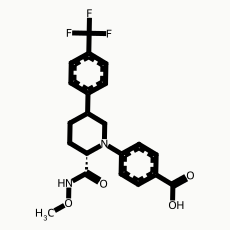 CONC(=O)[C@@H]1CCC(c2ccc(C(F)(F)F)cc2)CN1c1ccc(C(=O)O)cc1